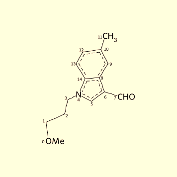 COCCCn1cc(C=O)c2cc(C)ccc21